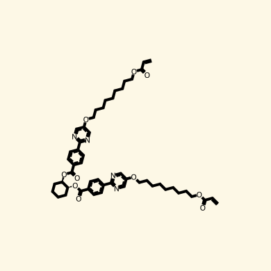 C=CC(=O)OCCCCCCCCCOc1cnc(-c2ccc(C(=O)O[C@@H]3CCCC[C@H]3OC(=O)c3ccc(-c4ncc(OCCCCCCCCCOC(=O)C=C)cn4)cc3)cc2)nc1